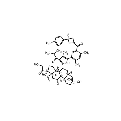 C[C@]12CC[C@@H](O)C[C@H]1CC[C@@H]1[C@@H]2C(=O)C[C@@]2(C)[C@H]1CC[C@]2(O)C(=O)CO.Cc1ccc(C2(F)CN(C(=O)c3cc(-c4[nH]nc(C(=O)N(C)C)c4C)c(C)cc3C)C2)cc1